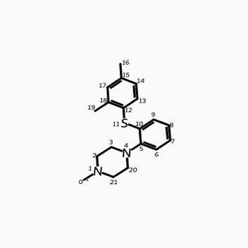 [CH2]N1CCN(c2ccccc2Sc2ccc(C)cc2C)CC1